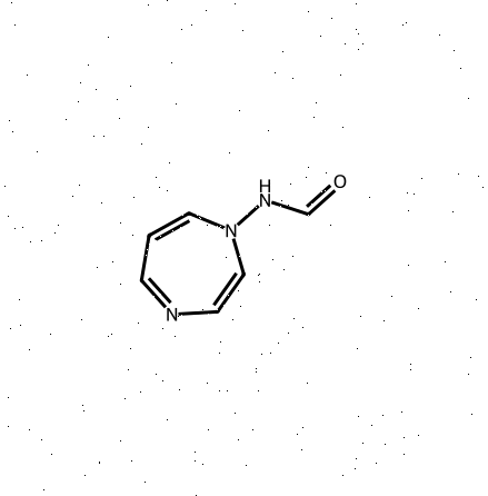 O=CNN1C=CC=NC=C1